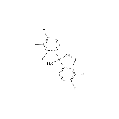 CC(C)(c1[c]cc(F)c(F)c1F)c1[c]cc(F)c(F)c1F